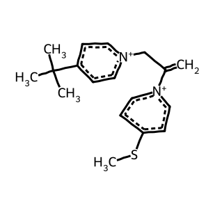 C=C(C[n+]1ccc(C(C)(C)C)cc1)[n+]1ccc(SC)cc1